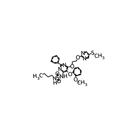 CCCCNS(=O)(=O)Nc1nc(-c2ccccc2)nc(OCCOc2ncc(SC)cn2)c1Oc1ccccc1OC